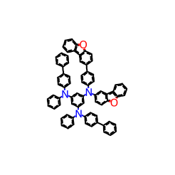 c1ccc(-c2ccc(N(c3ccccc3)c3cc(N(c4ccccc4)c4ccc(-c5ccccc5)cc4)cc(N(c4ccc(-c5ccc6oc7ccccc7c6c5)cc4)c4ccc5oc6ccccc6c5c4)c3)cc2)cc1